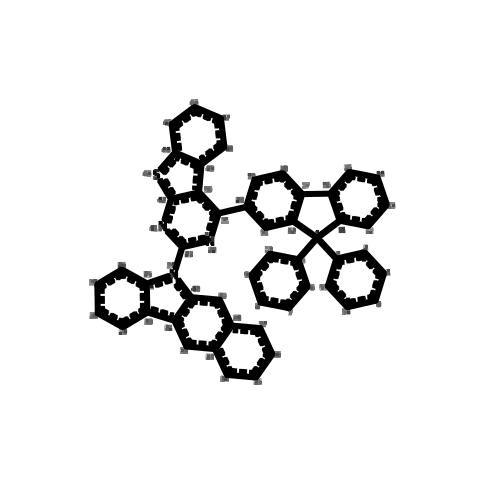 c1ccc(C2(c3ccccc3)c3ccccc3-c3ccc(-c4nc(-n5c6ccccc6c6cc7ccccc7cc65)nc5sc6ccccc6c45)cc32)cc1